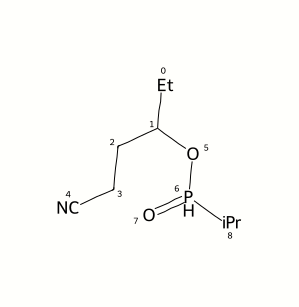 CCC(CCC#N)O[PH](=O)C(C)C